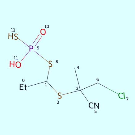 CCC(SC(C)(C#N)CCl)SP(=O)(O)S